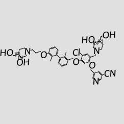 Cc1c(COc2cc(OCc3cncc(C#N)c3)c(CN3CC[C@H](CO)[C@H](O)C3)cc2Cl)cccc1-c1cccc(OCCCN2CC[C@H](CO)[C@H](O)C2)c1C